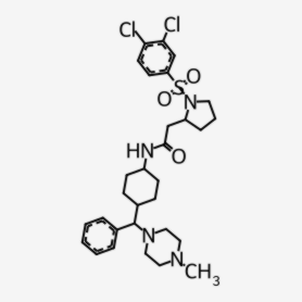 CN1CCN(C(c2ccccc2)C2CCC(NC(=O)CC3CCCN3S(=O)(=O)c3ccc(Cl)c(Cl)c3)CC2)CC1